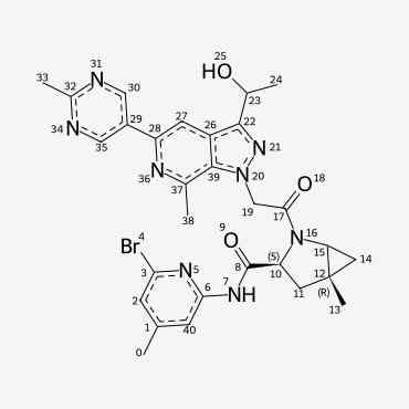 Cc1cc(Br)nc(NC(=O)[C@@H]2C[C@@]3(C)CC3N2C(=O)Cn2nc(C(C)O)c3cc(-c4cnc(C)nc4)nc(C)c32)c1